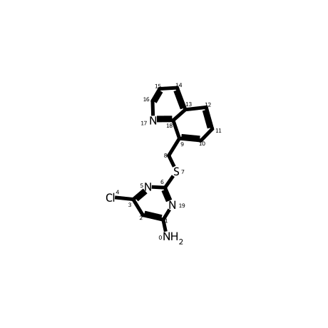 Nc1cc(Cl)nc(SCc2cccc3cccnc23)n1